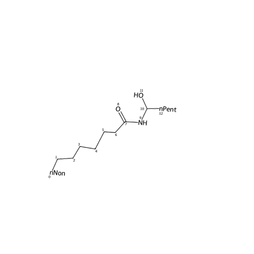 CCCCCCCCCCCCCCCC(=O)NC(O)CCCCC